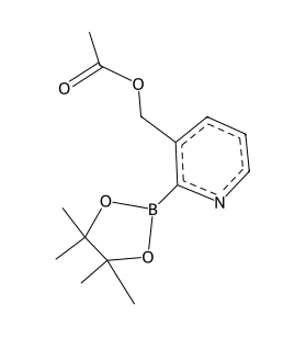 CC(=O)OCc1cccnc1B1OC(C)(C)C(C)(C)O1